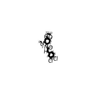 CN(C)[C@@H]1CC2(CC[C@H]1NC(=O)Cc1ccc(Cl)c(Cl)c1)OCCO2